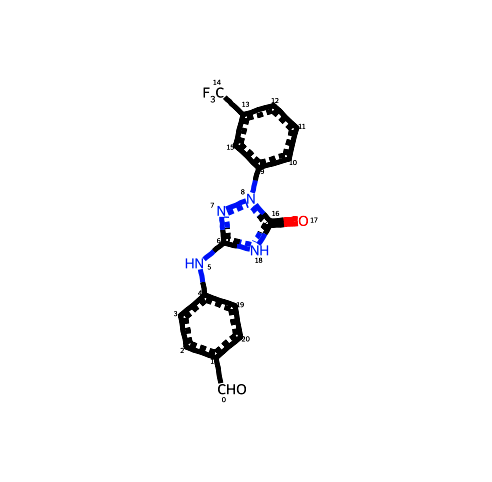 O=Cc1ccc(Nc2nn(-c3cccc(C(F)(F)F)c3)c(=O)[nH]2)cc1